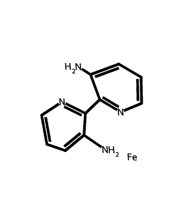 Nc1cccnc1-c1ncccc1N.[Fe]